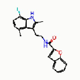 Cc1[nH]c2c(F)ccc(C)c2c1CCNC(=O)c1cc2ccccc2o1